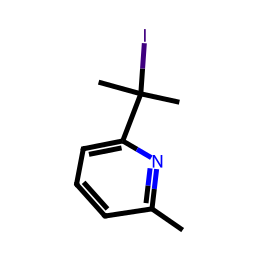 Cc1cccc(C(C)(C)I)n1